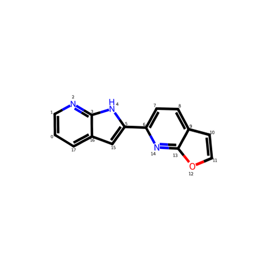 c1cnc2[nH]c(-c3ccc4ccoc4n3)cc2c1